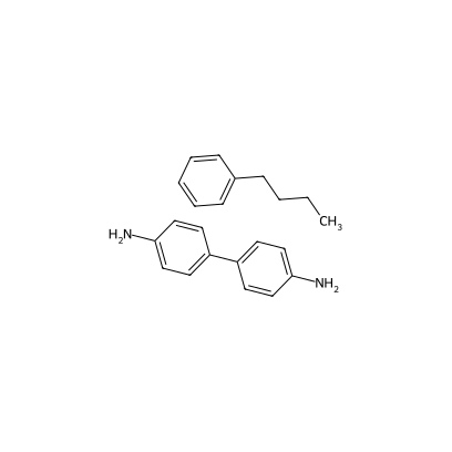 CCCCc1ccccc1.Nc1ccc(-c2ccc(N)cc2)cc1